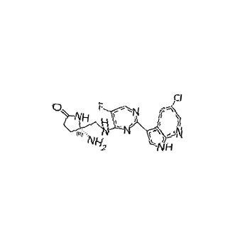 N[C@]1(CNc2nc(-c3c[nH]c4ncc(Cl)cc34)ncc2F)CCC(=O)N1